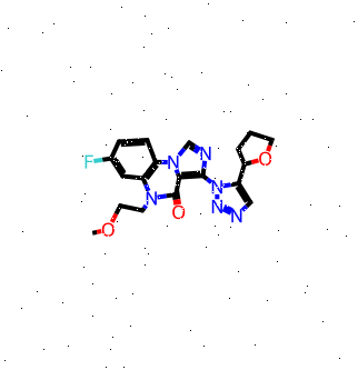 COCCn1c(=O)c2c(-n3nncc3C3CCCO3)ncn2c2ccc(F)cc21